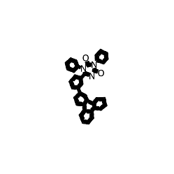 O=c1nc(-c2cccc(-c3ccc4c5ccccc5c5ccccc5c4c3)c2)n(-c2ccccc2)c(=O)n1-c1ccccc1